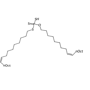 CCCCCCCC/C=C\CCCCCCCCOP(=S)(S)SCCCCCCCC/C=C\CCCCCCCC